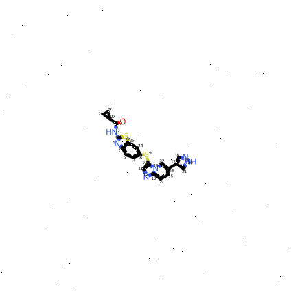 O=C(Nc1nc2ccc(Sc3cnc4ccc(-c5cn[nH]c5)cn34)cc2s1)C1CC1